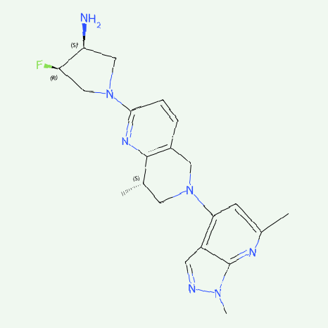 Cc1cc(N2Cc3ccc(N4C[C@@H](F)[C@@H](N)C4)nc3[C@@H](C)C2)c2cnn(C)c2n1